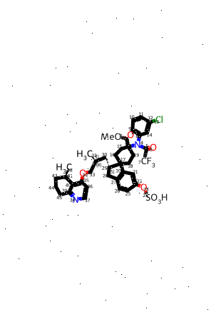 COC(=O)C1(N(C(=O)C(F)(F)F)c2cccc(Cl)c2)CCC2(CC1)c1cc(OS(=O)(=O)O)ccc1C[C@@H]2C[C@@H](C)COc1ccnc2c1[C@H](C)CCC2